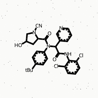 CC(C)(C)c1ccc(N(C(=O)C2CC(O)CN2C#N)C(C(=O)Nc2c(Cl)cccc2Cl)c2cccnc2)cc1